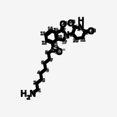 NCCCCCCCC[S+]([O-])c1cccc2c1CN(C1CCC(=O)NC1=O)C2=O